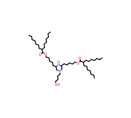 CCCCCCCC(CCCCCCC)C(=O)OCCCCCC1CN(CCCCO)CC(CCCCCOC(=O)C(CCCCCCC)CCCCCCC)N1